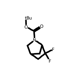 CC(C)(C)OC(=O)N1CC2CC1C(F)(F)C2